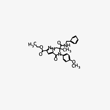 CCOC(=O)c1cc2n(n1)CC(C)(C(=O)NCc1ccccc1)N(c1ccc(OC)cc1)C2=O